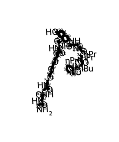 CCCO[C@H](C[C@H](C(C)C)N(CCC)C(=O)[C@@H](NC(=O)[C@H]1CCCCN1C)[C@@H](C)CC)c1nc(C(=O)N[C@H]2Cc3ccc(O)cc3[C@H](C(=O)NNC(=O)OCCOCCOCCOCCNC(=O)CNC(=O)CNC(=O)CN)C2)cs1